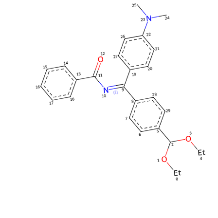 CCOC(OCC)c1ccc(/C(=N/C(=O)c2ccccc2)c2ccc(N(C)C)cc2)cc1